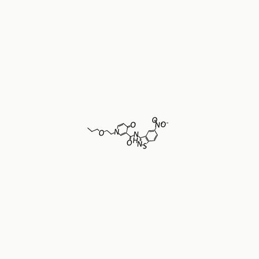 CCCOCCn1ccc(=O)c(C(=O)Nc2nsc3ccc([N+](=O)[O-])cc23)c1